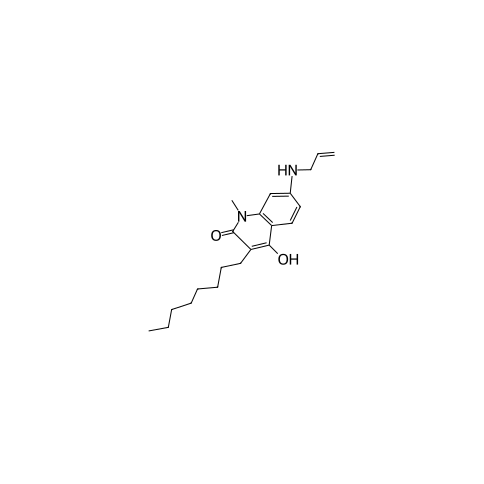 C=CCNc1ccc2c(O)c(CCCCCCCC)c(=O)n(C)c2c1